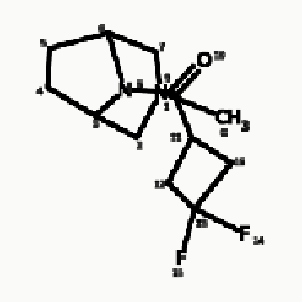 CN1CC2CCC(C1)N2C(=O)C1CC(F)(F)C1